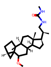 CNC(=O)NC[C@@H](C)[C@H]1CC[C@H]2[C@@H]3CC(OC)C45C[C@H]4CC[C@]5(C)[C@H]3CC[C@]12C